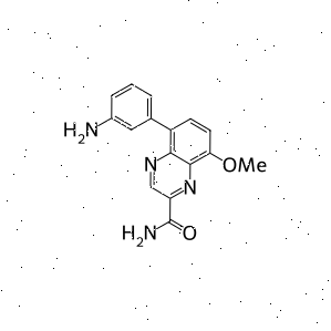 COc1ccc(-c2cccc(N)c2)c2ncc(C(N)=O)nc12